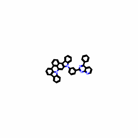 c1ccc(-c2nc(-c3cccc(-n4c5ccccc5c5c6cccc7c8cccc9c%10ccccc%10n(c(cc54)c76)c89)c3)nc3ncccc23)cc1